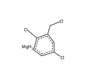 ClCc1cc(Cl)ccc1Cl.[MgH2]